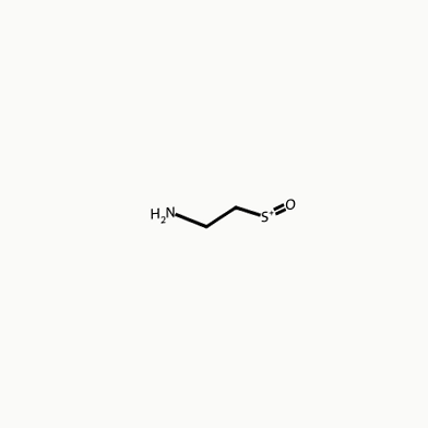 NCC[S+]=O